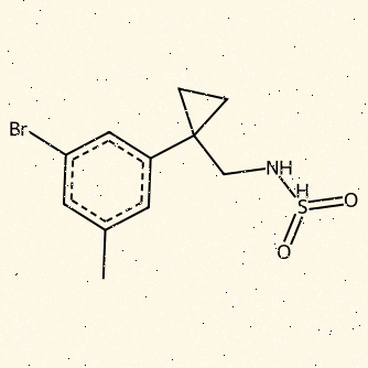 Cc1cc(Br)cc(C2(CN[SH](=O)=O)CC2)c1